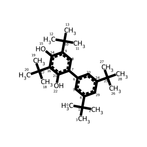 CC(C)(C)c1cc(-c2cc(C(C)(C)C)c(O)c(C(C)(C)C)c2O)cc(C(C)(C)C)c1